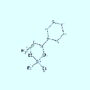 C=CC(O[Si](CC)(CC)CC)C1CCCCC1